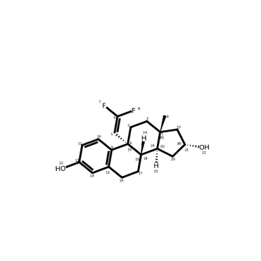 C[C@]12CC[C@]3(C=C(F)F)c4ccc(O)cc4CC[C@H]3[C@@H]1C[C@@H](O)C2